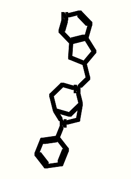 c1ccc(N2CC3CC2CCN3CC2Cc3ccncc3C2)cc1